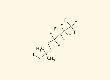 CC(C)(CI)CCC(F)(F)C(F)(F)C(F)(F)C(F)(F)F